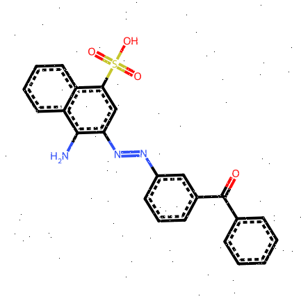 Nc1c(/N=N/c2cccc(C(=O)c3ccccc3)c2)cc(S(=O)(=O)O)c2ccccc12